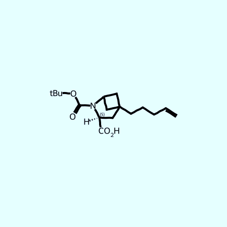 C=CCCCC12CC(C1)N(C(=O)OC(C)(C)C)[C@H](C(=O)O)C2